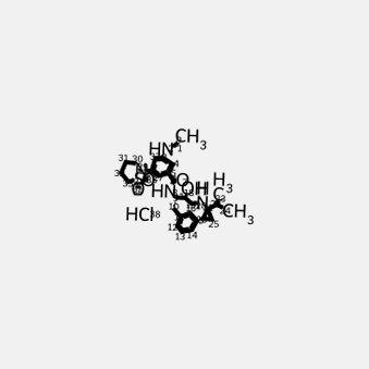 CCNc1cc(C(=O)N[C@@H](Cc2ccccc2)[C@H](O)CNC2(C(C)C)CC2)cc(N2CCCCS2(=O)=O)c1.Cl